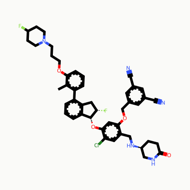 Cc1c(OCCCN2CCC(F)CC2)cccc1-c1cccc2c1C[C@H](F)[C@@H]2Oc1cc(OCc2cc(C#N)cc(C#N)c2)c(CN[C@H]2CCC(=O)NC2)cc1Cl